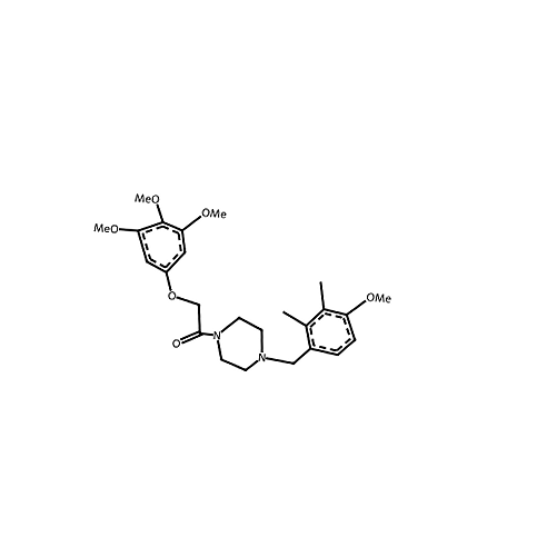 COc1ccc(CN2CCN(C(=O)COc3cc(OC)c(OC)c(OC)c3)CC2)c(C)c1C